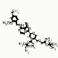 COc1ccc(CNc2nccn3c([C@H]4CN(C(=O)OC(C)(C)C)[C@H](COCC(=O)OC(C)(C)C)CO4)nc(Br)c23)c(OC)c1